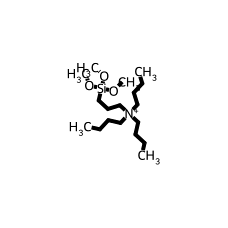 CCCC[N+](CCCC)(CCCC)CCC[Si](OC)(OC)OC